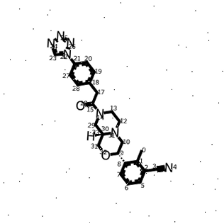 Cc1c(C#N)cccc1[C@H]1CN2CCN(C(=O)Cc3ccc(-n4cnnn4)cc3)C[C@H]2CO1